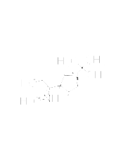 CCC(NC)C1CCN(C(C)(C)C)C1